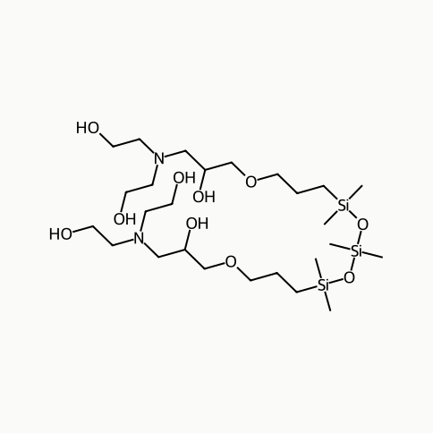 C[Si](C)(CCCOCC(O)CN(CCO)CCO)O[Si](C)(C)O[Si](C)(C)CCCOCC(O)CN(CCO)CCO